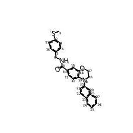 CSc1ccc(CNC(=O)c2ccc3c(c2)OCCN3c2ccc3ccccc3c2)cc1